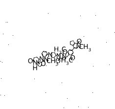 COc1cc(-c2cn(C)c(=O)c3c2CCC3)cc(OC)c1CN1CCN(C2CCN(c3cccc4c3n(C)c(=O)n4C3CCC(=O)NC3=O)CC2)C(=O)C1